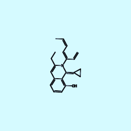 C=C/C(=C\C=C/C)N1C(CC)=Cc2cccc(O)c2C1=C1CC1